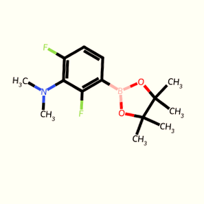 CN(C)c1c(F)ccc(B2OC(C)(C)C(C)(C)O2)c1F